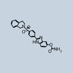 NC(=O)Oc1ccc2[nH]c(-c3ccc(S(=O)(=O)N4CCc5ccccc5C4)cc3)nc2c1